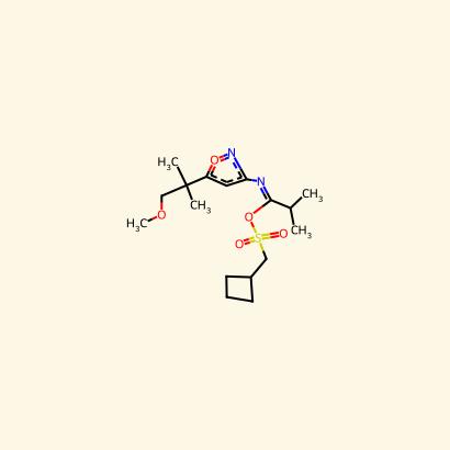 COCC(C)(C)c1cc(N=C(OS(=O)(=O)CC2CCC2)C(C)C)no1